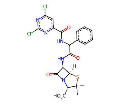 CC1(C)S[C@@H]2[C@H](NC(=O)C(NC(=O)c3cc(Cl)nc(Cl)n3)c3ccccc3)C(=O)N2[C@H]1C(=O)O